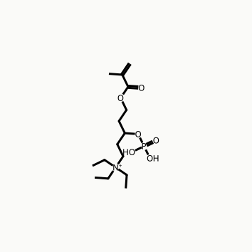 C=C(C)C(=O)OCCC(CC[N+](CC)(CC)CC)OP(=O)(O)O